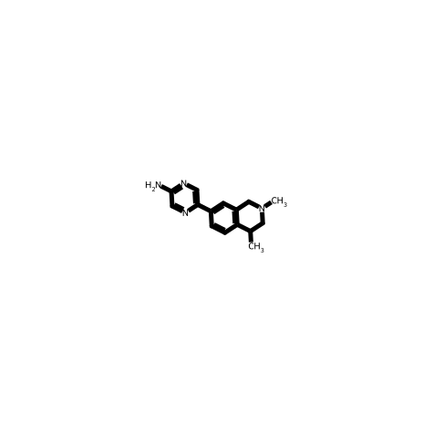 CC1CN(C)Cc2cc(-c3cnc(N)cn3)ccc21